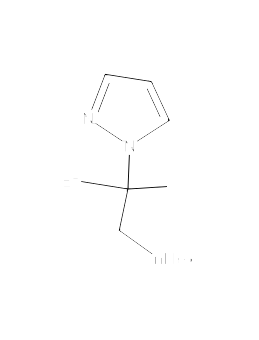 CCCCCCCC(C)(CC)n1cccn1